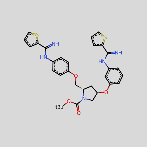 CC(C)(C)OC(=O)N1C[C@H](Oc2cccc(NC(=N)c3cccs3)c2)C[C@H]1COc1ccc(NC(=N)c2cccs2)cc1